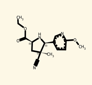 CCOC(=O)[C@@H]1C[C@](C)(C#N)[C@H](c2ccc(OC)nc2)N1